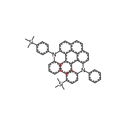 C[Si](C)(C)c1ccc(N(c2ccccc2)c2ccc3ccc4ccc(N(c5ccccc5)c5ccc([Si](C)(C)C)cc5)c5c6ccccc6c2c3c45)cc1